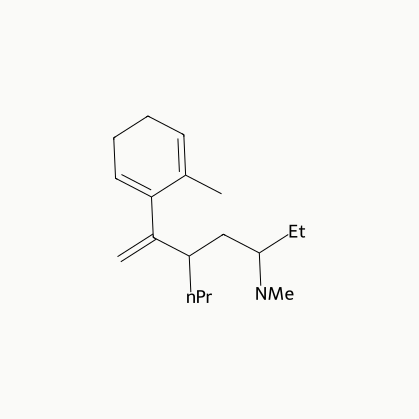 C=C(C1=CCCC=C1C)C(CCC)CC(CC)NC